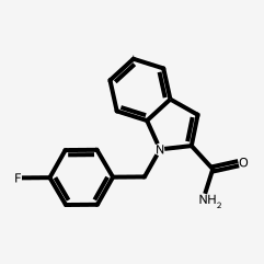 NC(=O)c1cc2c[c]ccc2n1Cc1ccc(F)cc1